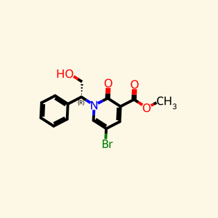 COC(=O)c1cc(Br)cn([C@@H](CO)c2ccccc2)c1=O